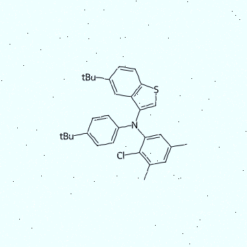 Cc1cc(C)c(Cl)c(N(c2ccc(C(C)(C)C)cc2)c2csc3ccc(C(C)(C)C)cc23)c1